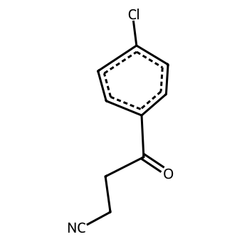 N#CCCC(=O)c1ccc(Cl)cc1